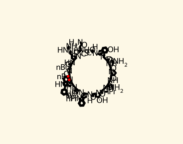 CCCC[C@H]1C(=O)N(C)[C@@H](CCCC)C(=O)NC(CCCNC(=N)N)C(=O)N[C@H](C(=O)NCC(N)=O)CSCC(=O)N[C@@H](Cc2ccc(O)cc2)C(=O)N(C)[C@@H](C)C(=O)N[C@@H](CC(N)=O)C(=O)N2CCCC2C(=O)N[C@@H](CN)C(=O)N[C@@H](CC(C)C)C(=O)N2C[C@H](O)CC2C(=O)N[C@@H](Cc2c[nH]c3ccccc23)C(=O)N[C@@H](CO)C(=O)N[C@@H](Cc2c(-c3cccc(OCCC)c3)[nH]c3ccccc23)C(=O)N1C